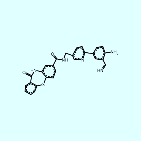 N=Cc1cc(-c2ccc(CNC(=O)c3ccc4c(c3)NC(=O)c3ccccc3S4)cn2)ccc1N